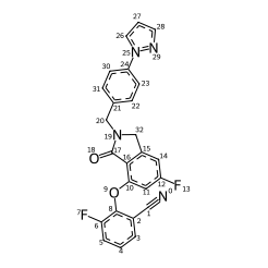 N#Cc1cccc(F)c1Oc1cc(F)cc2c1C(=O)N(Cc1ccc(-n3cccn3)cc1)C2